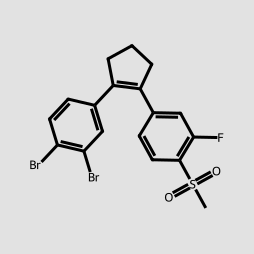 CS(=O)(=O)c1ccc(C2=C(c3ccc(Br)c(Br)c3)CCC2)cc1F